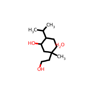 CC(C)C1CCC(C)(CCO)CC1O.O